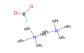 CCC[N+](CCC)(CCC)CCC.CCC[N+](CCC)(CCC)CCC.[O-]B([O-])F